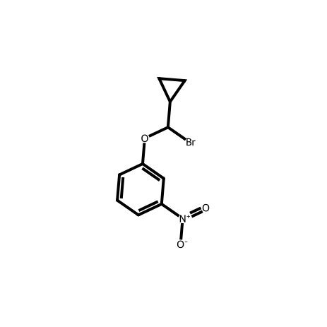 O=[N+]([O-])c1cccc(OC(Br)C2CC2)c1